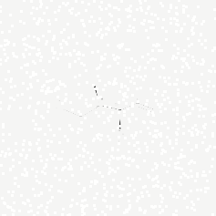 OC[C@@H](O)[C@H](O)C=S